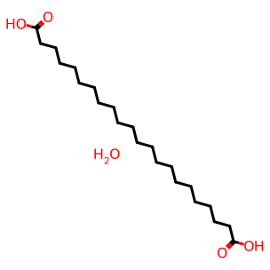 O.O=C(O)CCCCCCCCCCCCCCCCCCCCC(=O)O